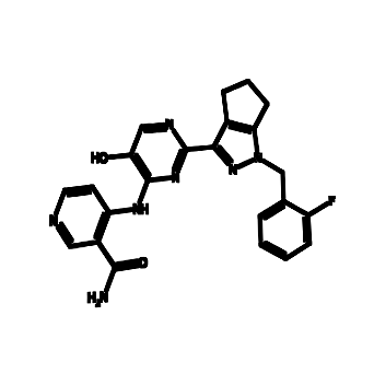 NC(=O)c1cnccc1Nc1nc(-c2nn(Cc3ccccc3F)c3c2CCC3)ncc1O